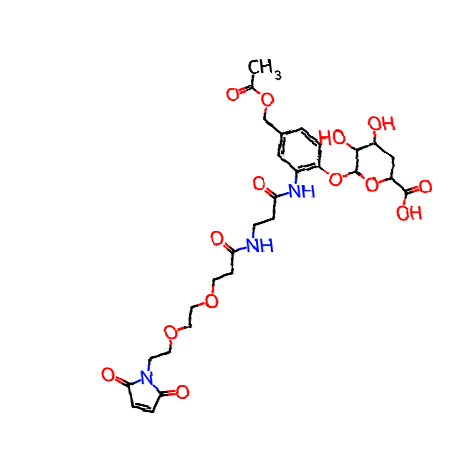 CC(=O)OCc1ccc(OC2OC(C(=O)O)CC(O)C2O)c(NC(=O)CCNC(=O)CCOCCOCCN2C(=O)C=CC2=O)c1